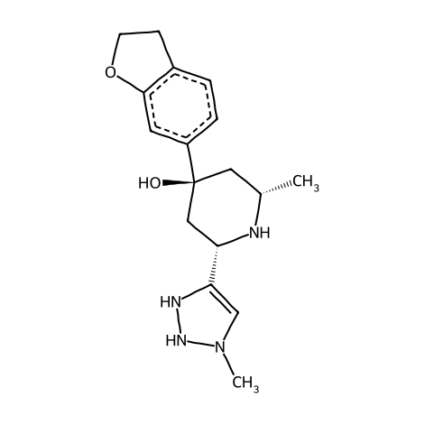 C[C@H]1C[C@@](O)(c2ccc3c(c2)OCC3)C[C@@H](C2=CN(C)NN2)N1